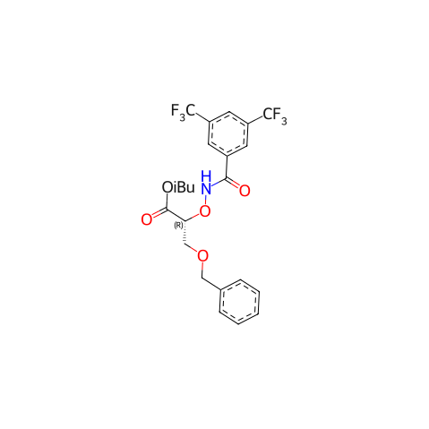 CC(C)COC(=O)[C@@H](COCc1ccccc1)ONC(=O)c1cc(C(F)(F)F)cc(C(F)(F)F)c1